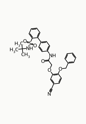 CC(C)(C)NS(=O)(=O)c1ccccc1-c1ccc(NC(=O)COc2cc(C#N)ccc2OCc2ccccc2)cc1